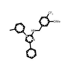 COc1cc(CNc2nc(-c3ccccc3)cn2-c2cccc(C)c2)ccc1C(F)(F)F